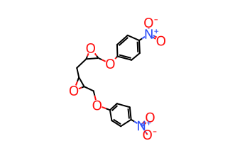 O=[N+]([O-])c1ccc(OCC2OC2CC2OC2Oc2ccc([N+](=O)[O-])cc2)cc1